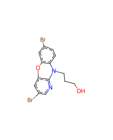 OCCCN1c2ccc(Br)cc2Oc2cc(Br)cnc21